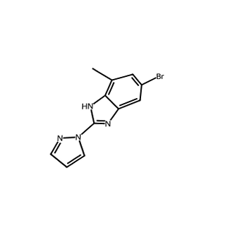 Cc1cc(Br)cc2nc(-n3cccn3)[nH]c12